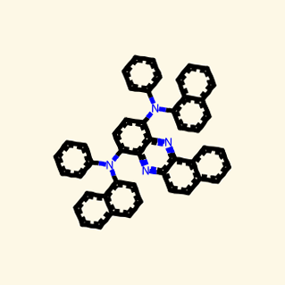 c1ccc(N(c2cccc3ccccc23)c2ccc(N(c3ccccc3)c3cccc4ccccc34)c3nc4c(ccc5ccccc54)nc23)cc1